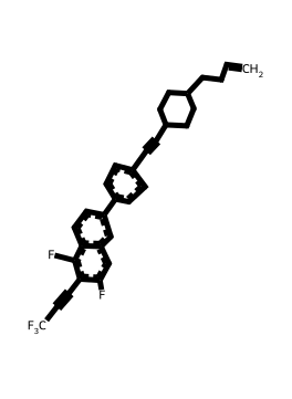 C=CCCC1CCC(C#Cc2ccc(-c3ccc4c(F)c(C#CC(F)(F)F)c(F)cc4c3)cc2)CC1